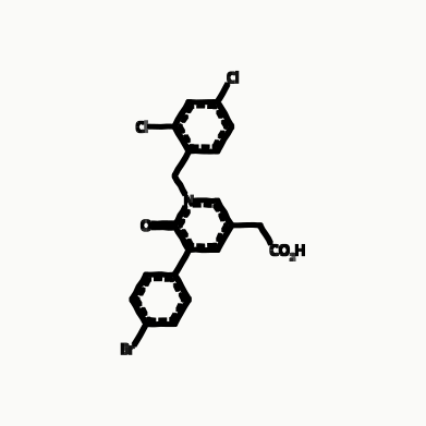 O=C(O)Cc1cc(-c2ccc(Br)cc2)c(=O)n(Cc2ccc(Cl)cc2Cl)c1